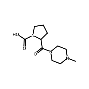 CN1CCN(C(=O)C2CCCN2C(=O)O)CC1